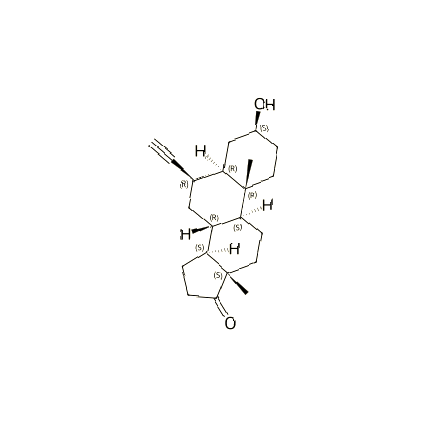 C#C[C@@H]1C[C@@H]2[C@H](CC[C@]3(C)C(=O)CC[C@@H]23)[C@@]2(C)CC[C@H](O)C[C@H]12